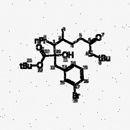 CCCC(C(C)CCC(=O)SC(C)(C)C)C(O)(Cc1cccc(Br)c1)C(=O)OC(C)(C)C